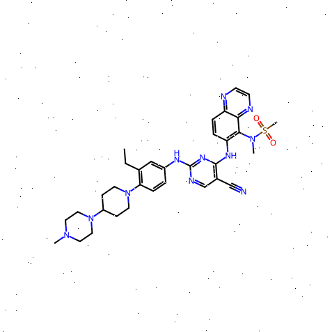 CCc1cc(Nc2ncc(C#N)c(Nc3ccc4nccnc4c3N(C)S(C)(=O)=O)n2)ccc1N1CCC(N2CCN(C)CC2)CC1